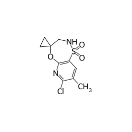 Cc1cc2c(nc1Cl)OC1(CC1)CNS2(=O)=O